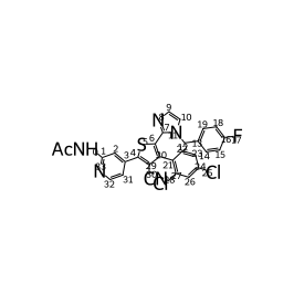 CC(=O)Nc1cc(-c2sc(-c3nccn3Cc3ccc(F)cc3)c(-c3ccc(Cl)cc3Cl)c2C#N)ccn1